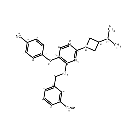 COc1cccc(COc2nc(N3CC(N(C)C)C3)ncc2Sc2ccc(C#N)cc2)c1